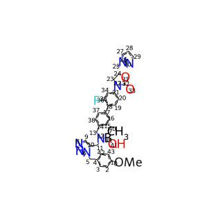 COc1ccc(Cn2nncc2CN(Cc2ccc(-c3ccc(N4C[C@H](Cn5cccn5)OC4=O)cc3F)cc2)B(C)O)cc1